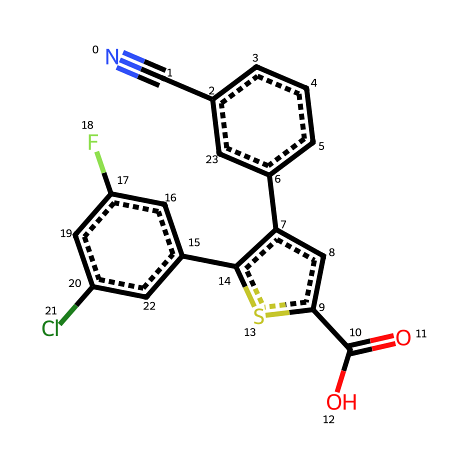 N#Cc1cccc(-c2cc(C(=O)O)sc2-c2cc(F)cc(Cl)c2)c1